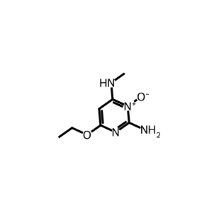 CCOc1cc(NC)[n+]([O-])c(N)n1